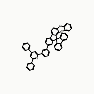 c1ccc(-c2cc(-c3ccccc3)nc(-c3cccc(-c4ccc5c(c4)C4(c6ccccc6-c6ccccc64)c4c-5ccc5c4Oc4ccccc4O5)c3)c2)cc1